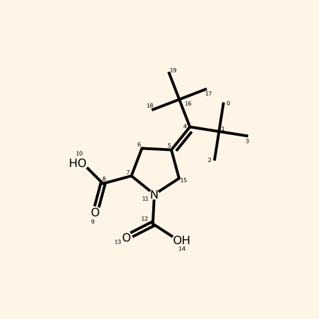 CC(C)(C)C(=C1CC(C(=O)O)N(C(=O)O)C1)C(C)(C)C